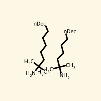 CCCCCCCCCCCCCCC(C)(C)N.CCCCCCCCCCCCCCCC(C)(C)N